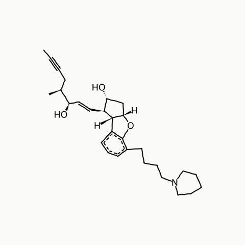 CC#CC[C@H](C)[C@H](O)/C=C/[C@@H]1[C@H]2c3cccc(CCCCN4CCCCC4)c3O[C@H]2C[C@H]1O